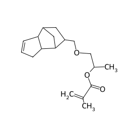 C=C(C)C(=O)OC(C)COCC1CC2CC1C1CC=CC21